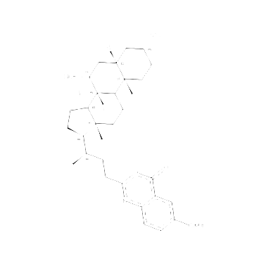 COc1ccc2nc(CC[C@@H](C)[C@H]3CC[C@H]4[C@H]5C(CC[C@]34C)[C@@]3(C)CC[C@@H](O)C[C@H]3C[C@H]5O)oc(=O)c2c1